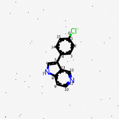 Clc1ccc(C2=C[N]c3ccncc32)cc1